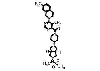 Cc1c(C(=O)N2CCC(N3C[C@H]4C[C@@H](N(C)S(C)(=O)=O)C[C@H]4C3)CC2)ncnc1N1CCc2ccc(C(F)(F)F)cc2C1